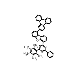 Bc1c(B)c(B)c(-c2nc(-c3ccccc3)nc(-c3cccc4c3oc3cccc(-c5ccc6c7ccccc7c7ccccc7c6c5)c34)n2)c(B)c1B